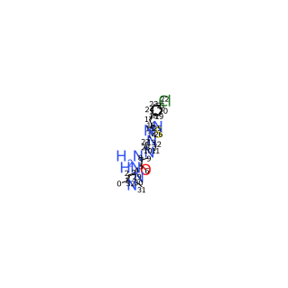 Cc1cc(NC(=O)C(N)CN2CCN(c3nc(Cc4ccc(Cl)cc4)ns3)CC2)nc(C)n1